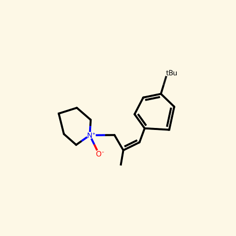 CC(=Cc1ccc(C(C)(C)C)cc1)C[N+]1([O-])CCCCC1